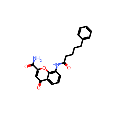 NC(=O)c1cc(=O)c2cccc(NC(=O)CCCCc3ccccc3)c2o1